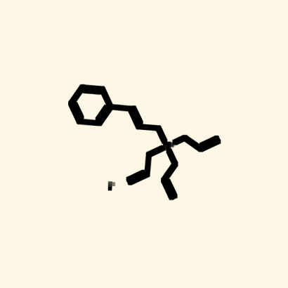 C=CC[N+](CC=C)(CC=C)CC=Cc1ccccc1.[I-]